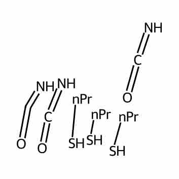 CCCS.CCCS.CCCS.N=C=O.N=C=O.N=C=O